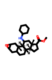 COC(=O)C1CC[C@H]2[C@@H]3CCC4CC5OC5C[C@]4(C)[C@@H]3C(NC3CCCCC3)C[C@]12C